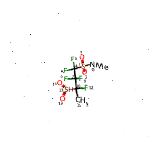 CNS(=O)(=O)C(F)(F)C(F)(F)C(C)(F)[SH](=O)=O